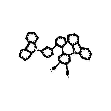 N#Cc1cc(-c2ccccc2-c2cccc(-n3c4ccccc4c4ccccc43)c2)c(-n2c3ccccc3c3ccccc32)cc1C#N